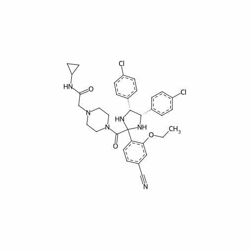 CCOc1cc(C#N)ccc1C1(C(=O)N2CCN(CC(=O)NC3CC3)CC2)N[C@H](c2ccc(Cl)cc2)[C@H](c2ccc(Cl)cc2)N1